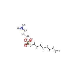 CCCCCCCCCCS(=O)(=O)OCCCN(C)C